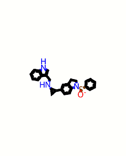 [O-][S+](c1ccccc1)N1CCc2cc(C3CC3NCc3c[nH]c4ccccc34)ccc21